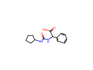 O=C(NC1CCCC1)NC(C(=O)O)c1ccccc1